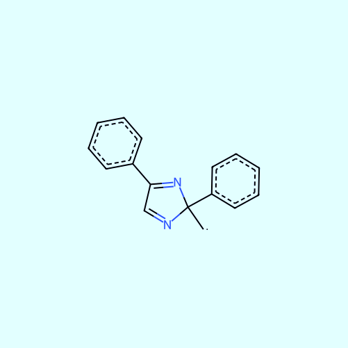 [CH2]C1(c2ccccc2)N=CC(c2ccccc2)=N1